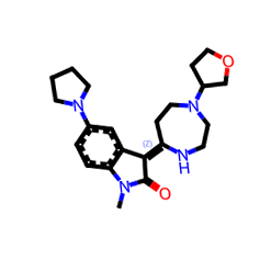 CN1C(=O)/C(=C2/CCN(C3CCOC3)CCN2)c2cc(N3CCCC3)ccc21